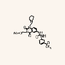 COCCn1c(=O)c2cc(NC(=O)Nc3cccc(C(=O)C(F)(F)F)c3)ccc2n(CCN2CCCCC2)c1=O